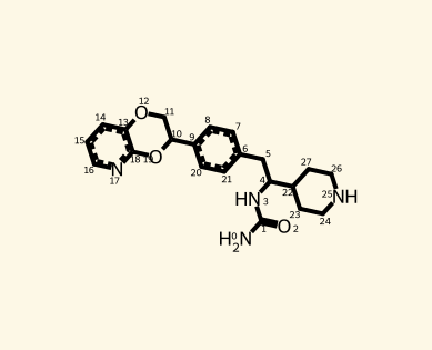 NC(=O)NC(Cc1ccc(C2COc3cccnc3O2)cc1)C1CCNCC1